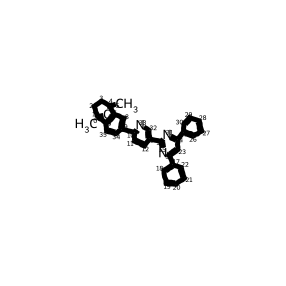 CC12CCC(C)(O1)c1cc(-c3ccc(-c4nc(-c5ccccc5)cc(-c5ccccc5)n4)cn3)ccc12